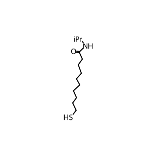 CC(C)NC(=O)CCCCCCCCCS